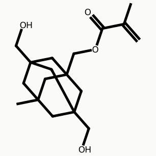 C=C(C)C(=O)OCC12CC3(C)CC(CO)(CC(CO)(C3)C1)C2